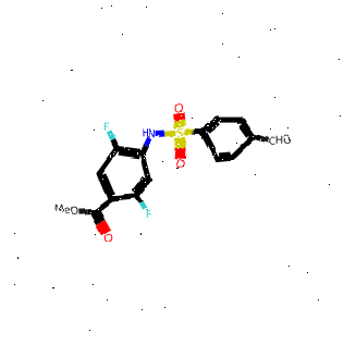 COC(=O)c1cc(F)c(NS(=O)(=O)c2ccc(C=O)cc2)cc1F